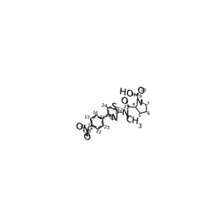 CN(C(=O)C1CCCN1C(=O)O)c1nc(-c2ccc([N+](=O)[O-])cc2)cs1